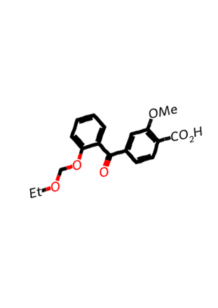 CCOCOc1ccccc1C(=O)c1ccc(C(=O)O)c(OC)c1